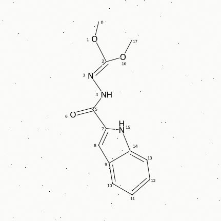 COC(=NNC(=O)c1cc2ccccc2[nH]1)OC